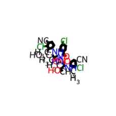 Cc1c(NC(C(=O)NN(C[C@@](C)(O)[C@@H](Nc2ccc(C#N)c(Cl)c2C)C(=O)O)C(=O)c2ccc(Cl)cc2)C(C)(C)O)ccc(C#N)c1Cl